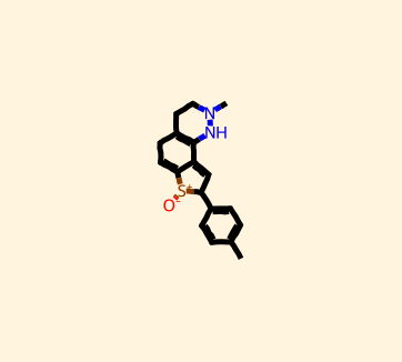 Cc1ccc(C2C=C3C(=CCC4=C3NN(C)CC4)[S+]2[O-])cc1